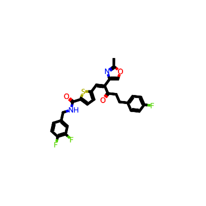 Cc1nc(C(=Cc2ccc(C(=O)NCc3ccc(F)c(F)c3)s2)C(=O)CCc2ccc(F)cc2)co1